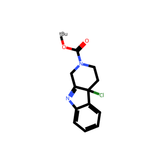 CC(C)(C)OC(=O)N1CCC2(Cl)C(=Nc3ccccc32)C1